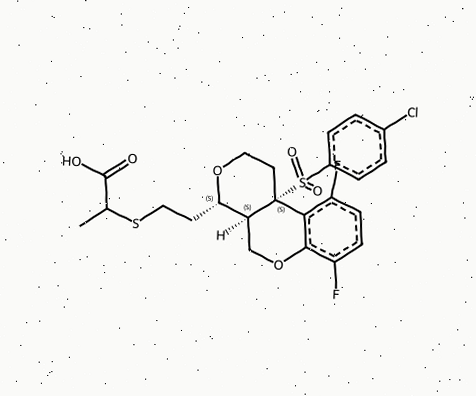 CC(SCC[C@@H]1OCC[C@@]2(S(=O)(=O)c3ccc(Cl)cc3)c3c(F)ccc(F)c3OC[C@@H]12)C(=O)O